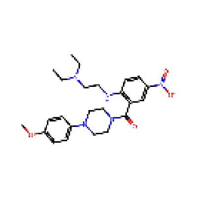 CCN(CC)CCNc1ccc([N+](=O)[O-])cc1C(=O)N1CCN(c2ccc(OC)cc2)CC1